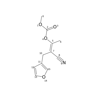 COC(=O)O/C(C)=C(/C#N)Cc1ccoc1